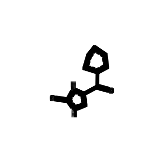 O=C(c1ccccc1)c1c[nH]c(=O)[nH]1